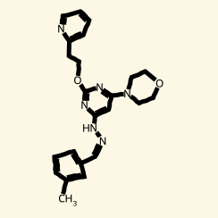 Cc1cccc(/C=N\Nc2cc(N3CCOCC3)nc(OCCc3ccccn3)n2)c1